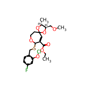 CCOC(=O)C1=CC2(CCOC1SCc1ccc(F)cc1OCl)O[C@H](C)[C@@H](COC)O2